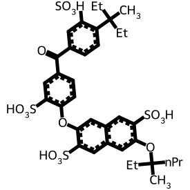 CCCC(C)(CC)Oc1cc2cc(S(=O)(=O)O)c(Oc3ccc(C(=O)c4ccc(C(C)(CC)CC)c(S(=O)(=O)O)c4)cc3S(=O)(=O)O)cc2cc1S(=O)(=O)O